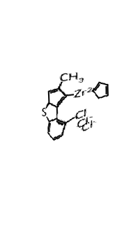 CC1=CC2Sc3cccc(Cl)c3C2=[C]1[Zr+2][C]1=CC=CC1.[Cl-].[Cl-]